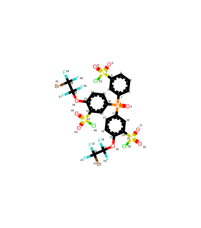 O=P(c1cccc(S(=O)(=O)Cl)c1)(c1ccc(OC(F)(F)C(F)(F)Br)c(S(=O)(=O)Cl)c1)c1ccc(OC(F)(F)C(F)(F)Br)c(S(=O)(=O)Cl)c1